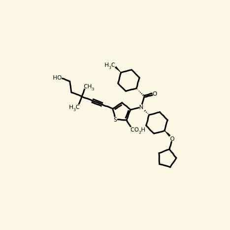 CC(C)(C#Cc1cc(N(C(=O)[C@H]2CC[C@H](C)CC2)[C@H]2CC[C@H](OC3CCCC3)CC2)c(C(=O)O)s1)CCO